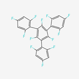 Fc1cc(F)c(-c2c(F)c(-c3c(F)cc(F)cc3F)c(F)c(-c3c(F)cc(F)cc3F)c2F)c(F)c1